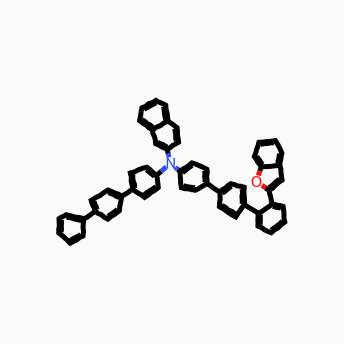 c1ccc(-c2ccc(-c3ccc(N(c4ccc(-c5ccc(-c6ccccc6-c6cc7ccccc7o6)cc5)cc4)c4ccc5ccccc5c4)cc3)cc2)cc1